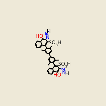 [H]/N=N/c1c(S(=O)(=O)O)c(-c2c(C)cc(-c3cc(C)c(-c4c(S(=O)(=O)O)c(/N=N/[H])c(O)c5ccccc45)c(C)c3)cc2C)c2ccccc2c1O